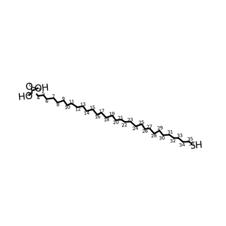 O=P(O)(O)CCCCCCCCCCCCCCCCCCCCCCCCCCCCCCCCS